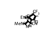 CC[S+]([O-])C1=C(NC)N=NC1(C#N)c1c(Cl)cc(C(F)(F)F)cc1Cl